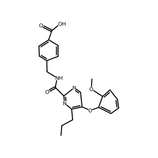 CCCc1nc(C(=O)NCc2ccc(C(=O)O)cc2)ncc1Oc1ccccc1OC